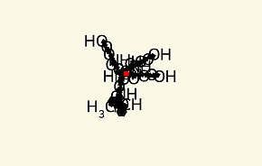 C#Cc1ccccc1N(Cc1ccccc1C)C(=O)CCC(=O)NCCOCCC(=O)NC(COCCC(=O)NCCOCCOCCO)(COCCC(=O)NCCOCCOCCO)COCCC(=O)NCCOCCOCCO